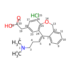 CN(C)CCC=C1c2ccccc2COc2ccc(CC(=O)O)cc21.Cl